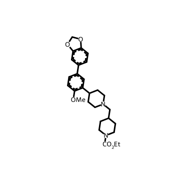 CCOC(=O)N1CCC(CN2CCC(c3cc(-c4ccc5c(c4)OCO5)ccc3OC)CC2)CC1